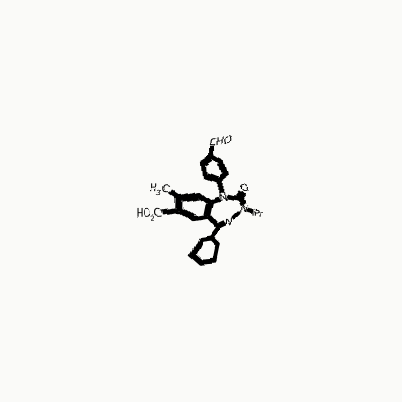 Cc1cc2c(cc1C(=O)O)C(C1CCCCC1)=NN(C(C)C)C(=O)N2c1ccc(C=O)cc1